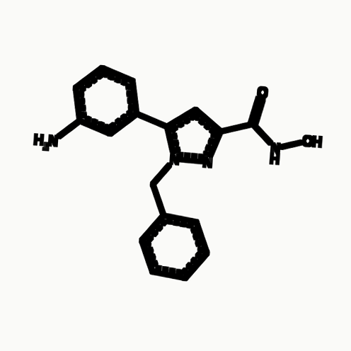 Nc1cccc(-c2cc(C(=O)NO)nn2Cc2ccccc2)c1